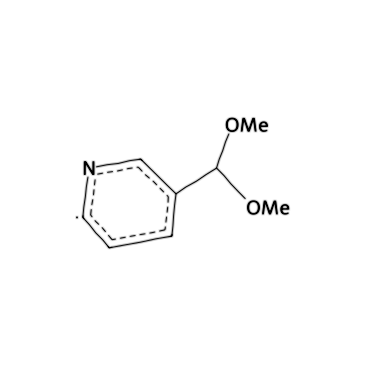 COC(OC)c1cc[c]nc1